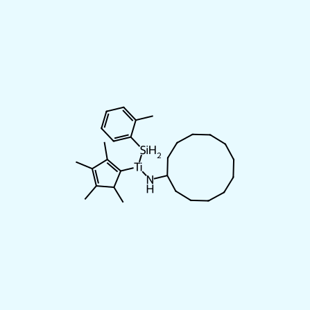 CC1=C(C)C(C)[C]([Ti]([NH]C2CCCCCCCCCCC2)[SiH2]c2ccccc2C)=C1C